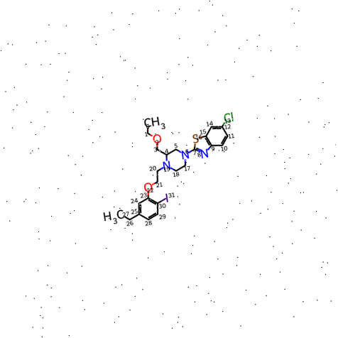 CCOCC1CN(c2nc3ccc(Cl)cc3s2)CCN1CCOc1cc(CC)ccc1I